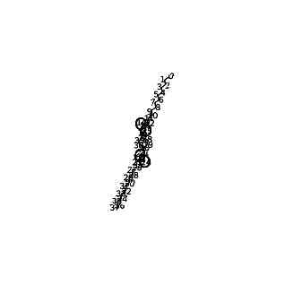 CCCCCCCCCCCCCC(=O)OCC1CCC(COC(=O)CCCCCCCCCCCCC)CC1